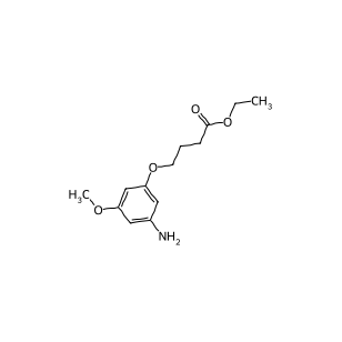 CCOC(=O)CCCOc1cc(N)cc(OC)c1